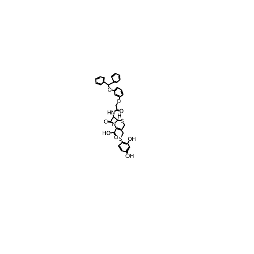 O=C(COc1cccc(OC(c2ccccc2)c2ccccc2)c1)NC1C(=O)N2C(C(=O)O)=C(CSc3ccc(O)cc3O)CS[C@H]12